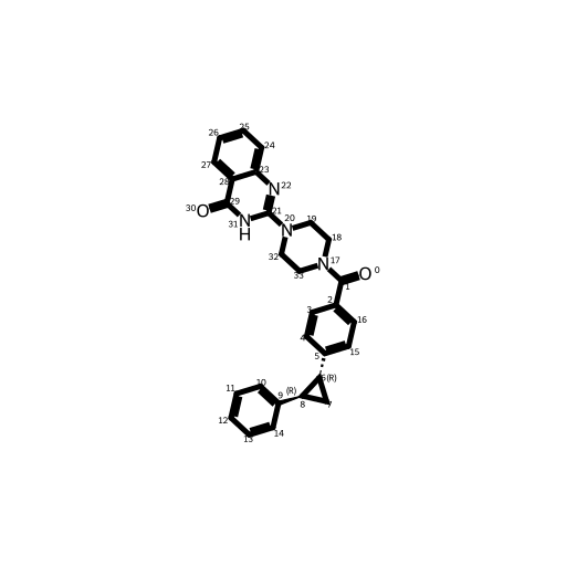 O=C(c1ccc([C@@H]2C[C@H]2c2ccccc2)cc1)N1CCN(c2nc3ccccc3c(=O)[nH]2)CC1